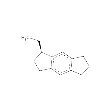 CC[C@@H]1CCc2cc3c(cc21)CCC3